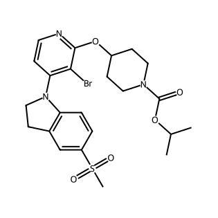 CC(C)OC(=O)N1CCC(Oc2nccc(N3CCc4cc(S(C)(=O)=O)ccc43)c2Br)CC1